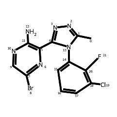 Cc1nnc(-c2nc(Br)cnc2N)n1-c1cccc(Cl)c1F